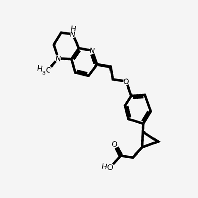 CN1CCNc2nc(CCOc3ccc(C4CC4CC(=O)O)cc3)ccc21